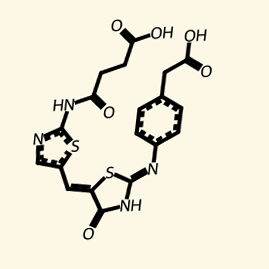 O=C(O)CCC(=O)Nc1ncc(C=C2SC(=Nc3ccc(CC(=O)O)cc3)NC2=O)s1